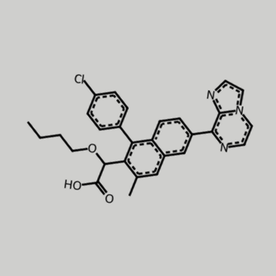 CCCCOC(C(=O)O)c1c(C)cc2cc(-c3nccn4ccnc34)ccc2c1-c1ccc(Cl)cc1